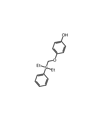 CC[Si](CC)(COc1ccc(O)cc1)c1ccccc1